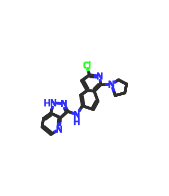 Clc1cc2cc(Nc3n[nH]c4cccnc34)ccc2c(N2CCCC2)n1